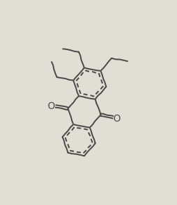 CCc1cc2c(c(CC)c1CC)C(=O)c1ccccc1C2=O